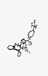 Cc1c(C(=O)N2CCC(C(F)(F)F)CC2)ccn1-c1nc2c(c(=O)[nH]1)CCC2